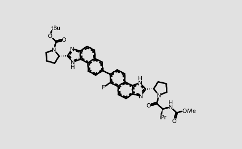 COC(=O)N[C@H](C(=O)N1CCC[C@H]1c1nc2ccc3c(F)c(-c4ccc5c(ccc6nc([C@@H]7CCCN7C(=O)OC(C)(C)C)[nH]c65)c4)ccc3c2[nH]1)C(C)C